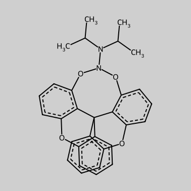 CC(C)N(C(C)C)N1Oc2cccc3c2C2(c4ccccc4O3)c3ccccc3Oc3cccc(c32)O1